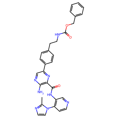 Cc1nccn1-c1ccncc1NC(=O)c1nc(-c2ccc(CCNC(=O)OCc3ccccc3)cc2)cnc1N